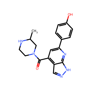 CC1CN(C(=O)c2cc(-c3ccc(O)cc3)nc3[nH]ncc23)CCN1